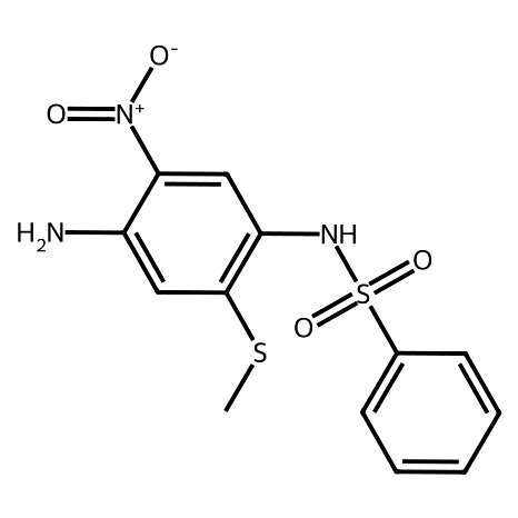 CSc1cc(N)c([N+](=O)[O-])cc1NS(=O)(=O)c1ccccc1